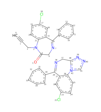 C#CCN1C(=O)CN=C(c2ccccc2)c2cc(Cl)ccc21.Clc1ccc2c(c1)C(c1ccccc1)=NCc1nncn1-2